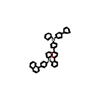 C1=CCCC(N(c2ccc(-c3ccccc3)cc2)c2ccc(-c3ccc(-c4ccccc4N(c4ccccc4)c4ccc(-c5cccc6ccccc56)cc4)cc3)cc2)=C1